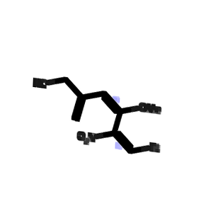 C=C(/C=C(OC)\C(=C/CC)[N+](=O)[O-])CC#N